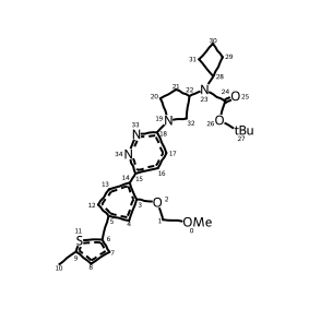 COCOc1cc(-c2ccc(C)s2)ccc1-c1ccc(N2CCC(N(C(=O)OC(C)(C)C)C3CCC3)C2)nn1